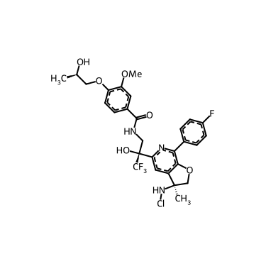 COc1cc(C(=O)NC[C@@](O)(c2cc3c(c(-c4ccc(F)cc4)n2)OC[C@@]3(C)NCl)C(F)(F)F)ccc1OC[C@@H](C)O